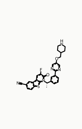 C[C@@H](c1cccc(-c2ncc(OCC3CCNCC3)cn2)c1)n1c(=O)c(F)cc2c3cc(C#N)ccc3sc21